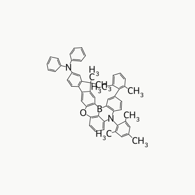 Cc1cc(C)c(N2c3ccc(-c4c(C)cccc4C)cc3B3c4cc5c(cc4Oc4cccc2c43)-c2ccc(N(c3ccccc3)c3ccccc3)cc2C5(C)C)c(C)c1